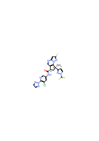 C[C@]1(c2ccn(C(F)F)n2)C[C@@H](C(=O)Nc2cnc(-n3nccn3)c(Cl)c2)c2cnc3cc(F)nn3c21